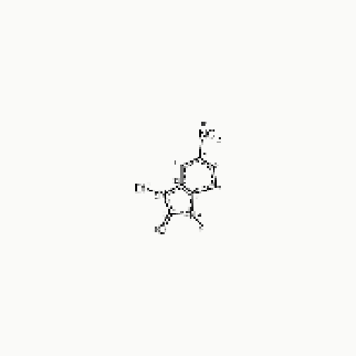 CCn1c(=O)n(C)c2ccc([N+](=O)[O-])cc21